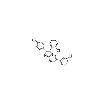 Clc1ccc(-c2nc3ncc(-c4cccc(Cl)c4)cn3c2-c2ccccc2Cl)cc1